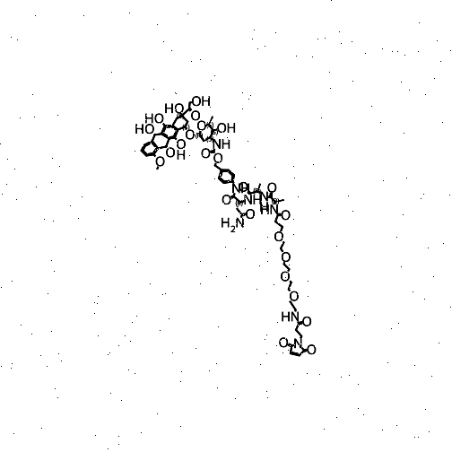 COc1cccc2c1C(=O)c1c(O)c3c(c(O)c1C2O)C[C@@](O)(C(=O)CO)C[C@@H]3O[C@H]1C[C@H](NC(=O)OCc2ccc(NC(=O)[C@@H](CC(N)=O)NC(=O)[C@@H](C)NC(=O)[C@@H](C)NC(=O)CCOCCOCCOCCOCCNC(=O)CCN3C(=O)C=CC3=O)cc2)[C@H](O)[C@H](C)O1